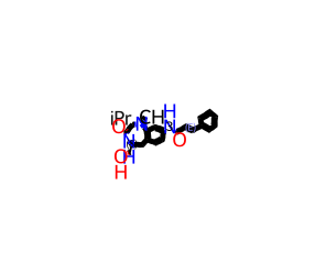 CC(C)C1C(=O)N[C@H](CO)Cc2ccc(NC(=O)/C=C/c3ccccc3)cc2N1C